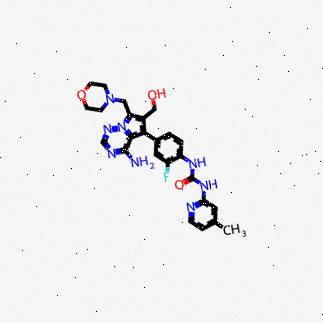 Cc1ccnc(NC(=O)Nc2ccc(-c3c(CO)c(CN4CCOCC4)n4ncnc(N)c34)cc2F)c1